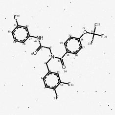 O=C(CN(Cc1ccc(F)c(F)c1)C(=O)c1ccc(OC(F)(F)F)cc1)Nc1cccc(F)c1